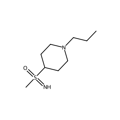 CCCN1CCC(S(C)(=N)=O)CC1